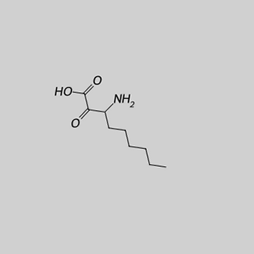 CCCCCCC(N)C(=O)C(=O)O